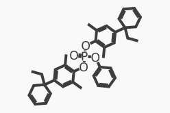 CCC1(c2cc(C)c(OP(=O)(Oc3ccccc3)Oc3c(C)cc(C4(CC)C=CC=CC4)cc3C)c(C)c2)C=CC=CC1